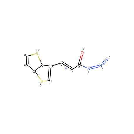 [N-]=[N+]=NC(=O)/C=C/C1=CSC2C=CSC12